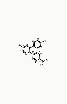 Cc1ccc(-c2nc(C)nnc2-c2ccc(N(C)C)cc2)cc1